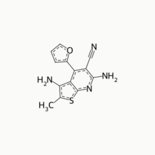 Cc1sc2nc(N)c(C#N)c(-c3ccco3)c2c1N